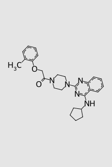 Cc1ccccc1OCC(=O)N1CCN(c2nc(NC3CCCC3)c3ccccc3n2)CC1